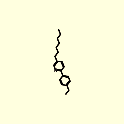 CCCCCCCc1ccc(-c2ccc(CC)cc2)nc1